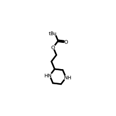 CC(C)(C)C(=O)OCCC1CNCCN1